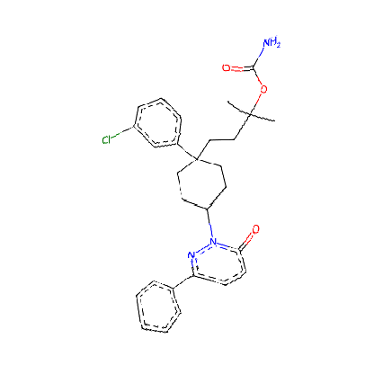 CC(C)(CCC1(c2cccc(Cl)c2)CCC(n2nc(-c3ccccc3)ccc2=O)CC1)OC(N)=O